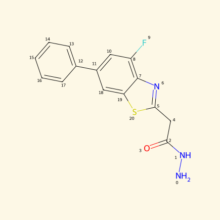 NNC(=O)Cc1nc2c(F)cc(-c3ccccc3)cc2s1